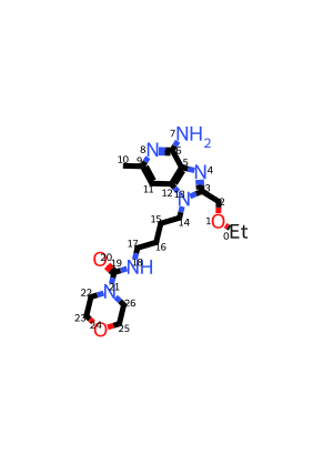 CCOCc1nc2c(N)nc(C)cc2n1CCCCNC(=O)N1CCOCC1